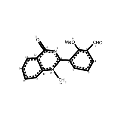 COc1c(C=O)cccc1-c1nc(=O)c2ccccc2n1C